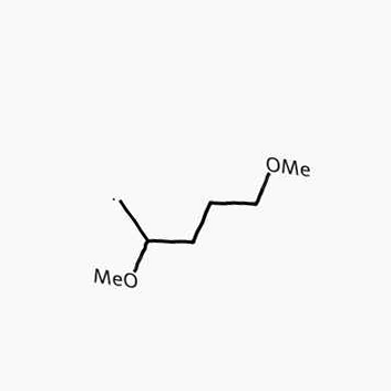 [CH2]C(CCCOC)OC